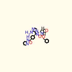 Nc1nccn2c([C@@H]3C[C@H]4COC[C@H]4N3C(=O)OCc3ccccc3)nc(-c3ccc(C(=O)Nc4ccccn4)cc3)c12